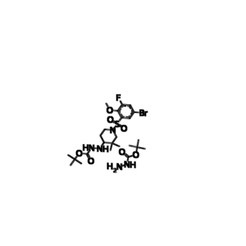 CC(C)(C)OC(=O)NN.COc1c(F)cc(Br)cc1S(=O)(=O)N1CCC(NNC(=O)OC(C)(C)C)C(C)(C)C1